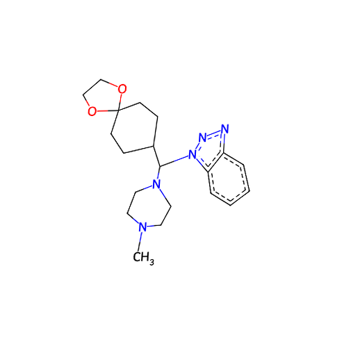 CN1CCN(C(C2CCC3(CC2)OCCO3)n2nnc3ccccc32)CC1